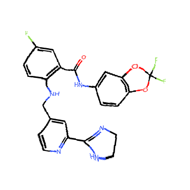 O=C(Nc1ccc2c(c1)OC(F)(F)O2)c1cc(F)ccc1NCc1ccnc(C2=NCCN2)c1